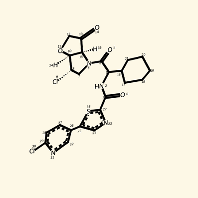 O=C(NC(C(=O)N1C[C@H](Cl)[C@H]2OCC(=O)[C@H]21)C1CCCCC1)c1ncc(-c2ccc(Cl)nc2)s1